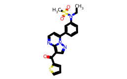 CCN(c1cccc(-c2ccnc3c(C(=O)c4cccs4)cnn23)c1)S(C)(=O)=O